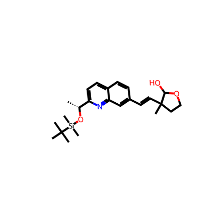 C[C@@H](O[Si](C)(C)C(C)(C)C)c1ccc2ccc(/C=C/C3(C)CCOC3O)cc2n1